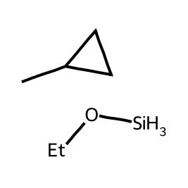 CC1CC1.CCO[SiH3]